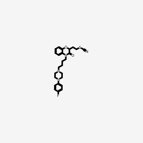 N#CSCCC1Oc2ccccc2N(CCCCN2CCN(c3ccc(F)cc3)CC2)C1=O